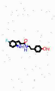 O=C(NCCc1ccc(O)cc1)c1cc2cc(F)ccc2[nH]1